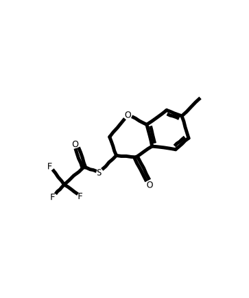 Cc1ccc2c(c1)OCC(SC(=O)C(F)(F)F)C2=O